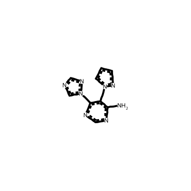 Nc1ncnc(-n2cncn2)c1-n1cccn1